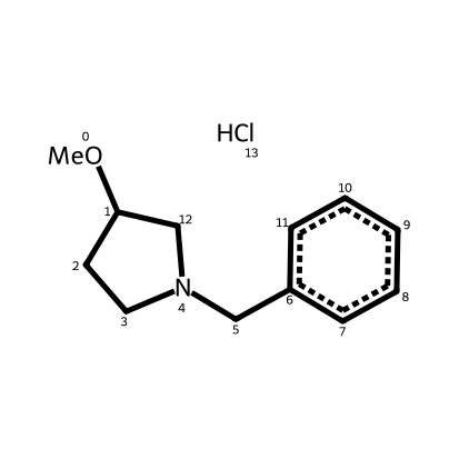 COC1CCN(Cc2ccccc2)C1.Cl